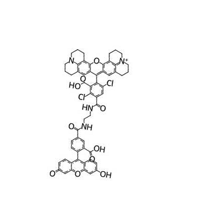 O=C(NCCNC(=O)c1cc(Cl)c(C2=c3cc4c5c(c3Oc3c2cc2c6c3CCCN6CCC2)CCC[N+]=5CCC4)c(C(=O)O)c1Cl)c1ccc(-c2c3ccc(=O)cc-3oc3cc(O)ccc23)c(C(=O)O)c1